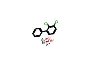 CC(=O)[O-].CCO.Clc1cccc(-c2ccccc2)c1Cl.[K+]